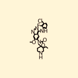 CCC1CNCCC12CN(c1cc3c(Nc4cccc(Cl)c4F)ncnc3cc1OC)C(=O)O2